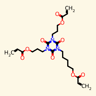 C=CC(=O)OCCCCCn1c(=O)n(CCCOC(=O)C=C)c(=O)n(CCCOC(=O)C=C)c1=O